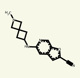 CN1CC2(CC(Nc3cc4cc(C#N)oc4cn3)C2)C1